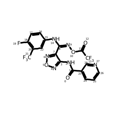 O=C(Nc1nonc1/C(=N\OC(=O)C(F)(F)F)Nc1ccc(F)c(C(F)(F)F)c1)c1cccnc1